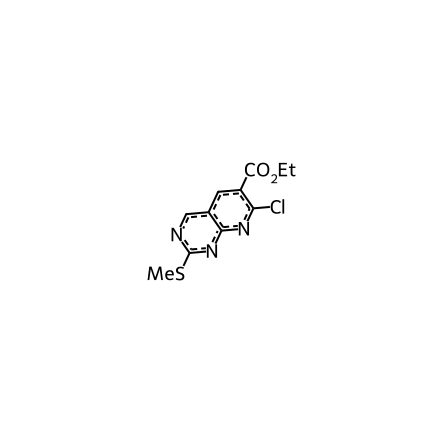 CCOC(=O)c1cc2cnc(SC)nc2nc1Cl